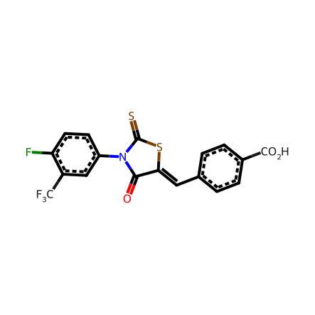 O=C(O)c1ccc(/C=C2\SC(=S)N(c3ccc(F)c(C(F)(F)F)c3)C2=O)cc1